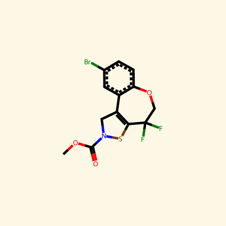 COC(=O)N1CC2=C(S1)C(F)(F)COc1ccc(Br)cc12